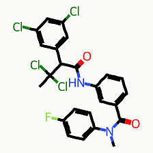 CN(C(=O)c1cccc(NC(=O)C(c2cc(Cl)cc(Cl)c2)C(C)(Cl)Cl)c1)c1ccc(F)cc1